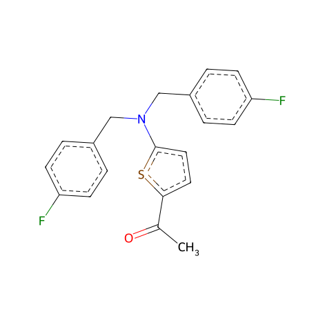 CC(=O)c1ccc(N(Cc2ccc(F)cc2)Cc2ccc(F)cc2)s1